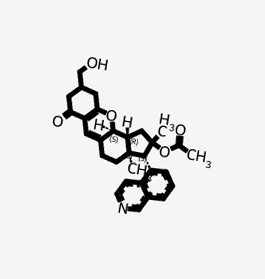 CC(=O)OC1(C)C[C@H]2[C@@H]3OC4=C(C=C3CC[C@]2(C)[C@H]1c1cccc2cnccc12)C(=O)CC(CO)C4